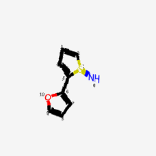 N=S1C=C[C]=C1c1ccco1